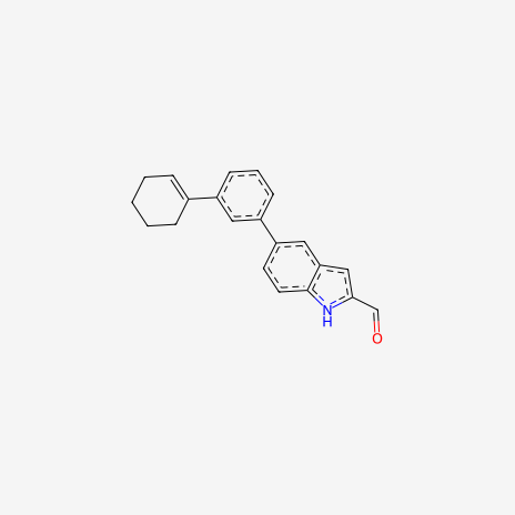 O=Cc1cc2cc(-c3cccc(C4=CCCCC4)c3)ccc2[nH]1